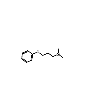 C[Si](C)CCCOc1ccccc1